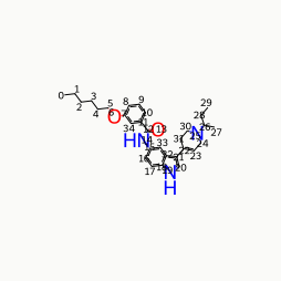 CCCCCCOc1cccc(C(=O)Nc2ccc3[nH]cc(C4=CCN(C(C)CC)CC4)c3c2)c1